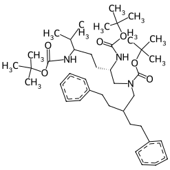 CC(C)C(CC[C@@H](CN(CC(CCc1ccccc1)CCc1ccccc1)C(=O)OC(C)(C)C)NC(=O)OC(C)(C)C)NC(=O)OC(C)(C)C